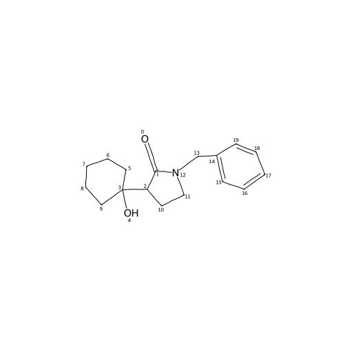 O=C1C(C2(O)CCCCC2)CCN1Cc1ccccc1